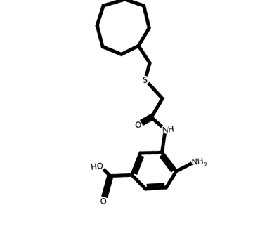 Nc1ccc(C(=O)O)cc1NC(=O)CSCC1CCCCCCC1